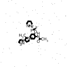 CC(=O)Nc1ccccc1OC(F)(F)F.Cc1ccc[nH]1.c1ccnnc1.c1csnn1